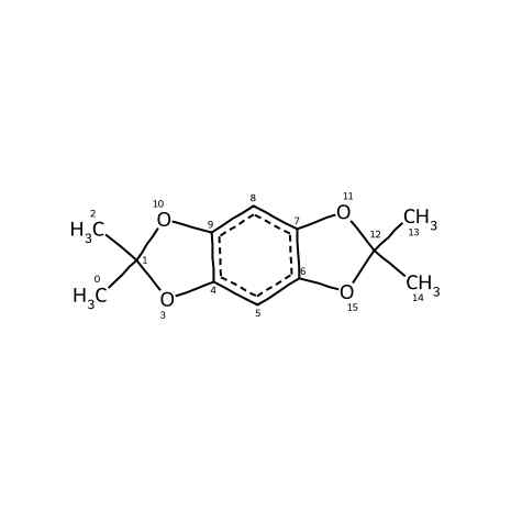 CC1(C)Oc2cc3c(cc2O1)OC(C)(C)O3